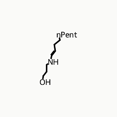 CCCCCCCC=CNCCCO